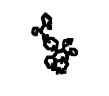 CC(=O)Cn1c(=O)c(C#N)c(N2CCN(C(=O)c3cccs3)CC2)c2cccnc21